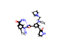 Cc1ccc(C(N)=O)cc1Nc1ncc(-c2cc(-c3ccc[nH]c3=O)cc(N(C)CCN3CCCC3)c2)o1